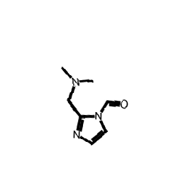 CN(C)Cc1nccn1C=O